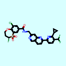 O=C(NCc1cc2nc(-c3ccc(C(F)F)c(C4CC4)n3)ccc2cn1)c1cc(Cl)c2c(c1)S(=O)(=O)[C@@H](F)CCO2